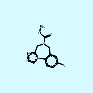 CC(C)(C)OC(=O)N1Cc2cc(Cl)ccc2-n2cnnc2C1